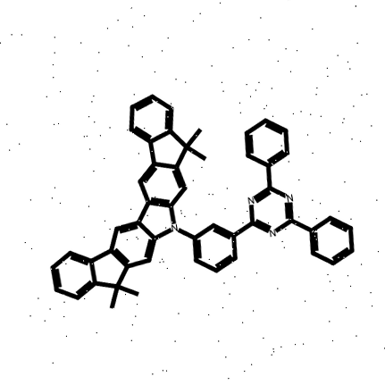 CC1(C)c2ccccc2-c2cc3c4cc5c(cc4n(-c4cccc(-c6nc(-c7ccccc7)nc(-c7ccccc7)n6)c4)c3cc21)C(C)(C)c1ccccc1-5